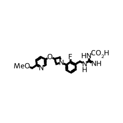 COCc1ccc(OC2CN(c3cccc(CNC(=N)NC(=O)O)c3F)C2)cn1